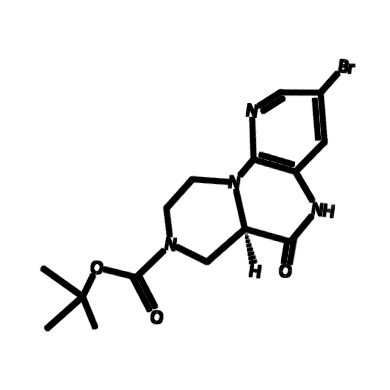 CC(C)(C)OC(=O)N1CCN2c3ncc(Br)cc3NC(=O)[C@H]2C1